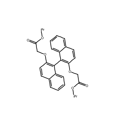 CC(C)OC(=O)COc1ccc2ccccc2c1-c1c(OCC(=O)OC(C)C)ccc2ccccc12